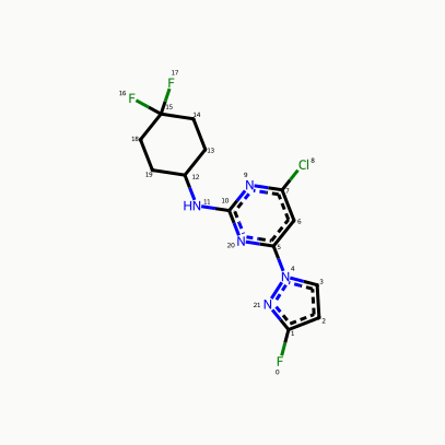 Fc1ccn(-c2cc(Cl)nc(NC3CCC(F)(F)CC3)n2)n1